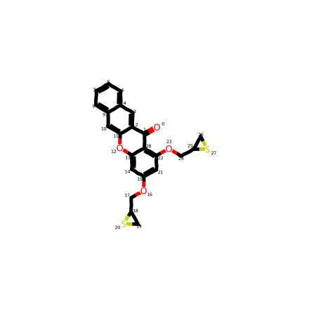 O=c1c2cc3ccccc3cc2oc2cc(OCC3CS3)cc(OCC3CS3)c12